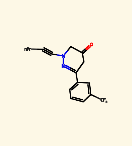 CCCC#CN1CC(=O)CC(c2cccc(C(F)(F)F)c2)=N1